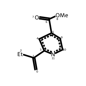 C=C(CC)c1cc(C(=O)OC)ccn1